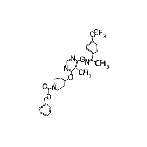 CC(=NOc1ncnc(OC2CCN(C(=O)OCc3ccccc3)CC2)c1C)c1ccc(OC(F)(F)F)cc1